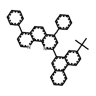 CC(C)(C)c1ccc2c(c1)c(-c1cc(-c3ccccc3)c3ccc4c(-c5ccccc5)ccnc4c3n1)cc1ccccc12